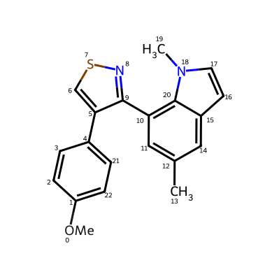 COc1ccc(-c2csnc2-c2cc(C)cc3ccn(C)c23)cc1